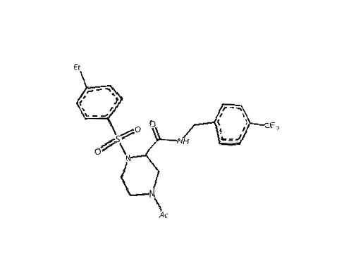 CCc1ccc(S(=O)(=O)N2CCN(C(C)=O)CC2C(=O)NCc2ccc(C(F)(F)F)cc2)cc1